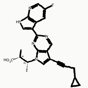 C[C@H]([C@@H](C)C(=O)O)n1cc(C#CCC2CC2)c2cnc(-c3c[nH]c4ncc(F)cc34)nc21